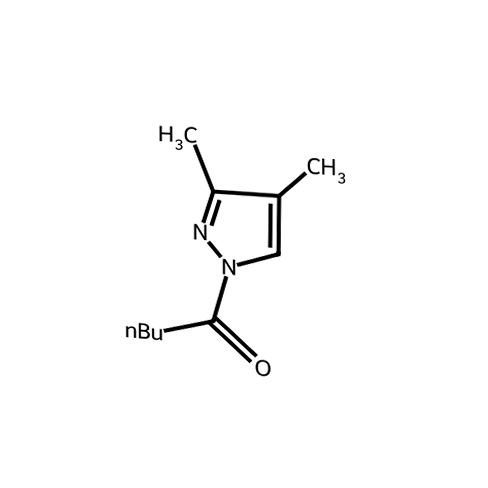 CCCCC(=O)n1cc(C)c(C)n1